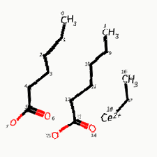 CCCCCC(=O)[O-].CCCCCC(=O)[O-].C[CH2][Ce+2]